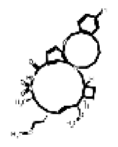 COCC[C@H]1/C=C/[C@H](OC)[C@@H]2CC[C@H]2CN2CCCCc3cc(Cl)ccc3COc3ccc(cc32)C(=O)NS(=O)(=O)[C@H](C)C1